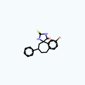 O=C1NC(=S)NC12CC(c1ccccc1)CCc1ccc(Br)cc12